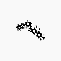 Cc1cc(-c2ccc(C(F)(F)F)cc2)ccc1C(=O)Nc1cncc(-c2nc3ccccc3[nH]2)c1